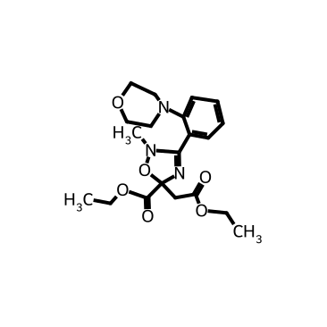 CCOC(=O)CC1(C(=O)OCC)N=C(c2ccccc2N2CCOCC2)N(C)O1